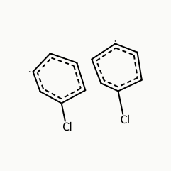 Clc1c[c]ccc1.Clc1cc[c]cc1